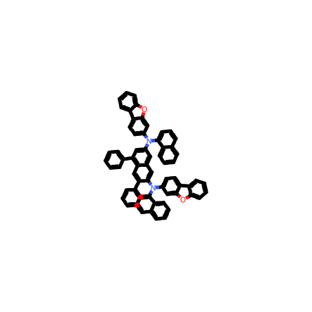 c1ccc(-c2cc3c(-c4ccccc4)cc(N(c4ccc5c(c4)oc4ccccc45)c4cccc5ccccc45)cc3cc2N(c2ccc3c(c2)oc2ccccc23)c2cccc3ccccc23)cc1